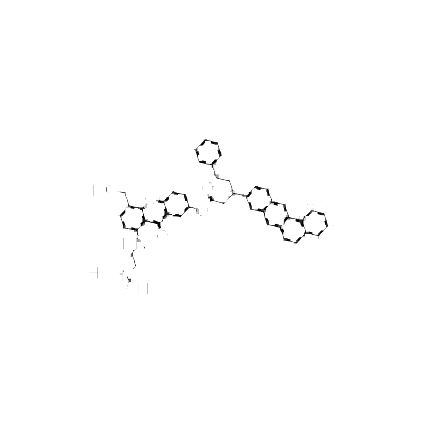 CN(C)CCNc1ccc(CO)c2oc3ccc(OC(=O)CC(CCc4ccccc4)c4ccc5cc6c(ccc7ccccc76)cc5c4)cc3c(=O)c12